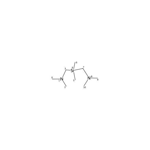 CN(C)C[Si](C)(C)CN(C)C